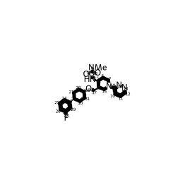 CNS(=O)(=O)N[C@H]1CCN(c2cccnn2)C[C@H]1CO[C@H]1CC[C@@H](c2cccc(F)c2)CC1